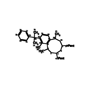 CCCCCC1CC(CCCCC)CC(C)c2c(ccc(C(C)(C)c3ccccc3)c2O)C(C)C1